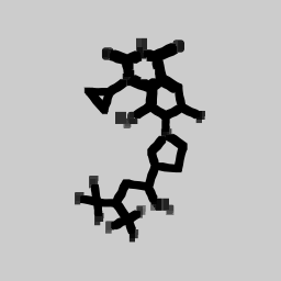 CC1=c2c(c(=O)[nH]c(=O)n2C2CC2)=CC(F)C1N1CCC(C(N)CC(C(F)(F)F)C(F)(F)F)C1